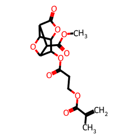 C=C(C)C(=O)OCCC(=O)OC1C2OC(=O)C3C2OC1C3C(=O)OC